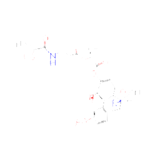 CC(O)C(=O)NCCC(=O)O[C@@H](C)C(=O)OC1=CC[C@@]2(O)[C@H]3Cc4ccc(O)c5c4[C@@]2(CCN3C)[C@H]1O5